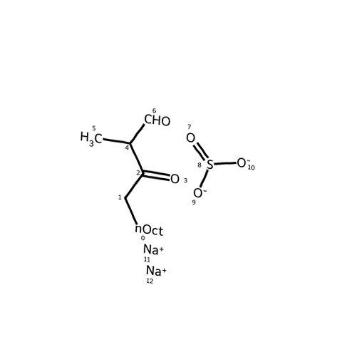 CCCCCCCCCC(=O)C(C)C=O.O=S([O-])[O-].[Na+].[Na+]